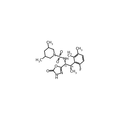 Cc1ccc(F)c([C@@H](C)[C@H](NS(=O)(=O)N2CC(C)CC(C)C2)c2n[nH]c(=O)o2)c1C